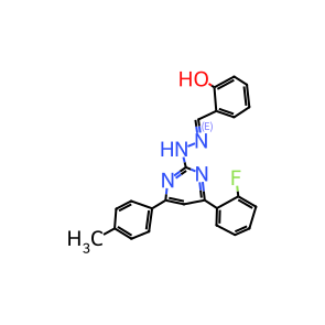 Cc1ccc(-c2cc(-c3ccccc3F)nc(N/N=C/c3ccccc3O)n2)cc1